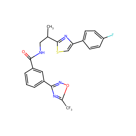 CC(CNC(=O)c1cccc(-c2noc(C(F)(F)F)n2)c1)c1nc(-c2ccc(F)cc2)cs1